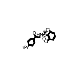 CCCc1ccc(C(=O)CNS(=O)(=O)c2c(Cl)cccc2Cl)cc1